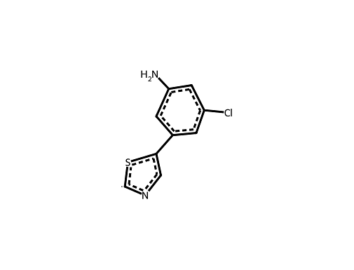 Nc1cc(Cl)cc(-c2cn[c]s2)c1